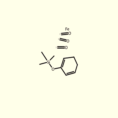 C[Si](C)(C)OC1=CCCC=C1.[C]=O.[C]=O.[C]=O.[Fe]